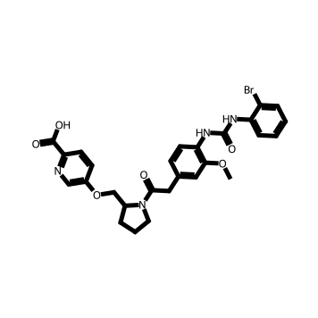 COc1cc(CC(=O)N2CCCC2COc2ccc(C(=O)O)nc2)ccc1NC(=O)Nc1ccccc1Br